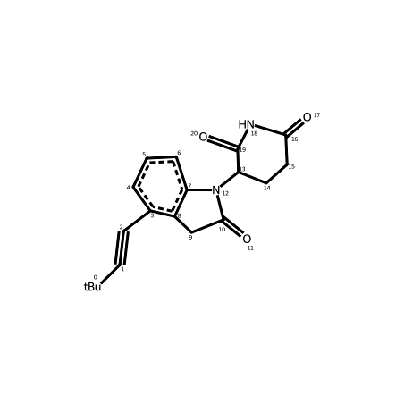 CC(C)(C)C#Cc1cccc2c1CC(=O)N2C1CCC(=O)NC1=O